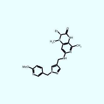 CC[C@H]1C(=O)Nc2c(cc(NCc3cnn(Cc4ccc(OC)nc4)c3)nc2C)N1C